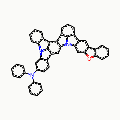 c1ccc(N(c2ccccc2)c2ccc3c4cc5c(c6cccc7c8cc9c(cc8n5c76)oc5ccccc59)c5c6ccccc6n(c3c2)c45)cc1